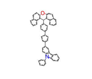 c1ccc(-n2c3ccccc3c3cc(-c4ccc(-c5ccc(C6c7c(ccc8ccccc78)Oc7ccc8ccccc8c76)cc5)cc4)ccc32)cc1